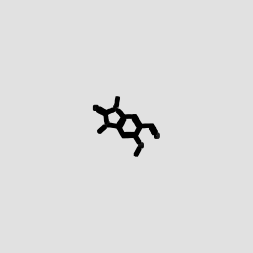 COc1cc2c(cc1C=O)n(C)c(=O)n2C